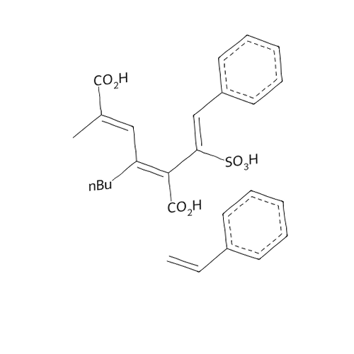 C=Cc1ccccc1.CCCCC(C=C(C)C(=O)O)=C(C(=O)O)C(=Cc1ccccc1)S(=O)(=O)O